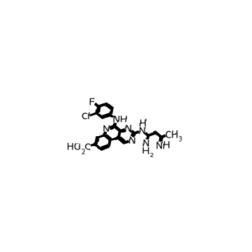 CC(=N)CC(N)Nc1ncc2c(n1)c(Nc1ccc(F)c(Cl)c1)nc1cc(C(=O)O)ccc12